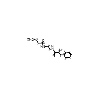 NC(Cc1ccccc1)C(=O)NCCNC(=O)CCC=O